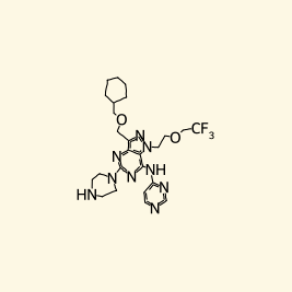 FC(F)(F)COCCn1nc(COCC2CCCCC2)c2nc(N3CCNCC3)nc(Nc3ccncn3)c21